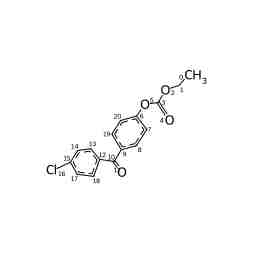 CCOC(=O)Oc1ccc(C(=O)c2ccc(Cl)cc2)cc1